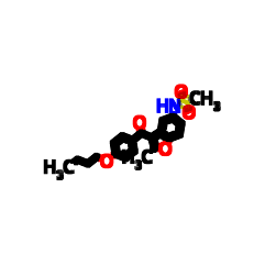 CCCCOc1ccc(C(=O)c2c(C)oc3ccc(NS(C)(=O)=O)cc23)cc1